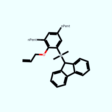 C=CCOc1c(CCCCC)cc(CCCCC)cc1[Si](C)(C)C1c2ccccc2-c2ccccc21